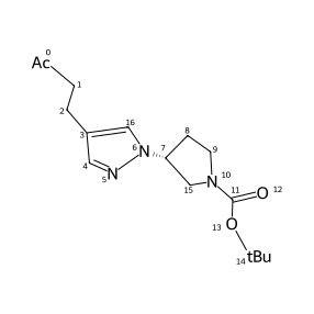 CC(=O)CCc1cnn([C@@H]2CCN(C(=O)OC(C)(C)C)C2)c1